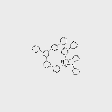 c1ccc(-c2ccc(-c3cc(-c4ccccc4)cc(-c4cccc(-c5cccc(-c6nc(-c7cccc(-c8ccccc8)c7)c7c8ccccc8n(-c8ccccc8)c7n6)c5)c4)c3)cc2)cc1